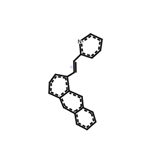 C(=C\c1cccc2cc3ccccc3cc12)/c1ccccn1